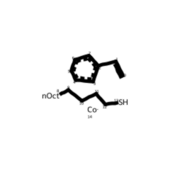 C=Cc1ccccc1.CCCCCCCCCCCCS.[Co]